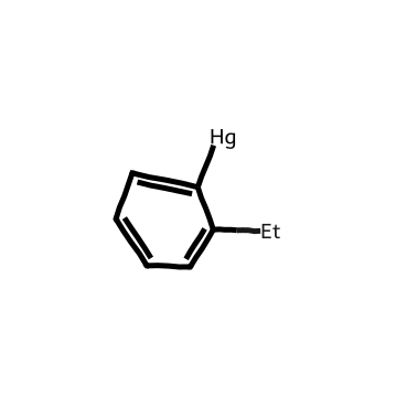 CCc1cccc[c]1[Hg]